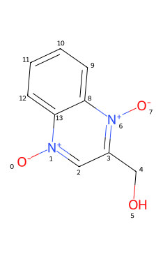 [O-][n+]1cc(CO)[n+]([O-])c2ccccc21